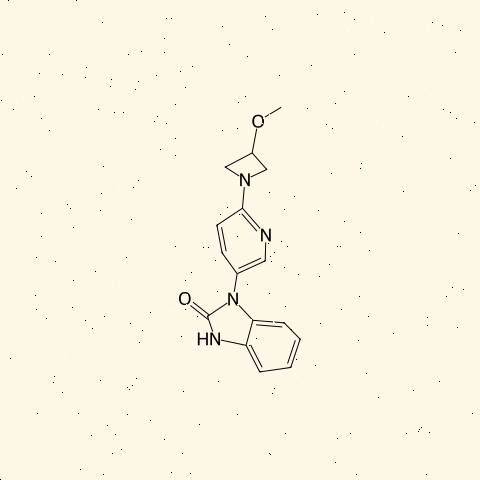 COC1CN(c2ccc(-n3c(=O)[nH]c4ccccc43)cn2)C1